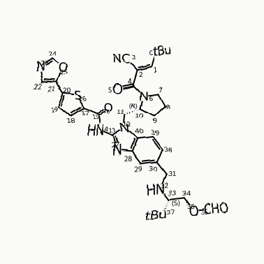 CC(C)(C)C=C(C#N)C(=O)N1CCC[C@@H]1Cn1c(NC(=O)c2ccc(-c3cnco3)s2)nc2cc(CN[C@H](COC=O)C(C)(C)C)ccc21